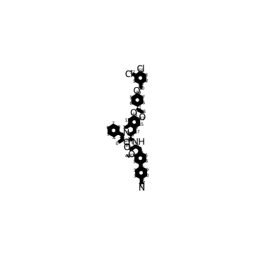 CCC(c1ccccc1)N1Cc2cc3c(cc2C[C@H]1C(=O)NC(Cc1ccc(-c2ccc(C#N)cc2)cc1)C(=O)OC)OC[C@@H](c1ccc(OCc2ccc(Cl)c(Cl)c2)cc1)O3